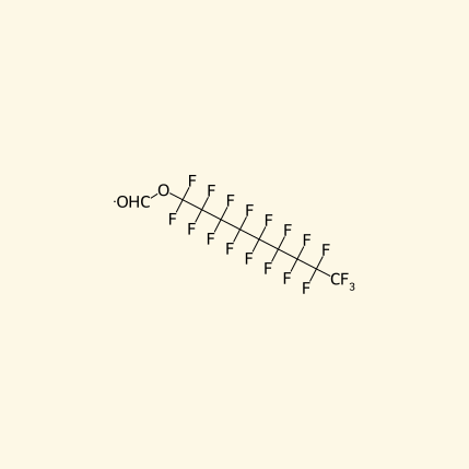 O=[C]OC(F)(F)C(F)(F)C(F)(F)C(F)(F)C(F)(F)C(F)(F)C(F)(F)C(F)(F)C(F)(F)F